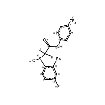 CC(C)(C(=O)Nc1ccc(C(F)(F)F)cn1)[S+]([O-])c1ccc(F)cc1F